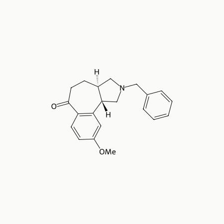 COc1ccc2c(c1)[C@H]1CN(Cc3ccccc3)C[C@@H]1CCC2=O